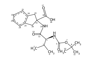 CC(C)[C@H](NC(=O)OC(C)(C)C)C(=O)NC1(C(=O)O)Cc2ccccc2C1